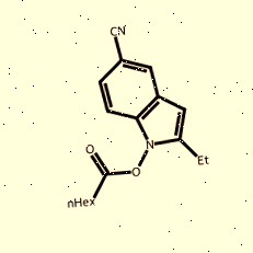 CCCCCCC(=O)On1c(CC)cc2cc(C#N)ccc21